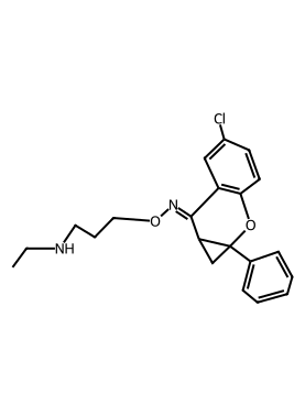 CCNCCCON=C1c2cc(Cl)ccc2OC2(c3ccccc3)CC12